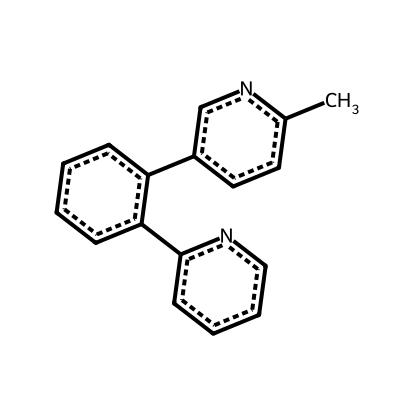 Cc1ccc(-c2ccccc2-c2ccccn2)cn1